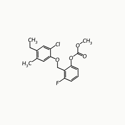 CCc1cc(Cl)c(OCc2c(F)cccc2OC(=O)OC)cc1C